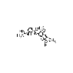 CCC(=Cc1ccc(NC(=O)c2cccc(NC(=N)N)c2)cc1OC)C(=O)O